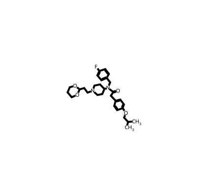 CC(C)COc1ccc(CC(=O)N(Cc2ccc(F)cc2)C2CCN(CCC3OCCCO3)CC2)cc1